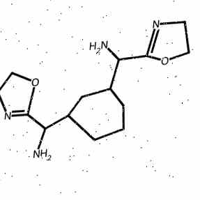 NC(C1=NCCO1)C1CCCC(C(N)C2=NCCO2)C1